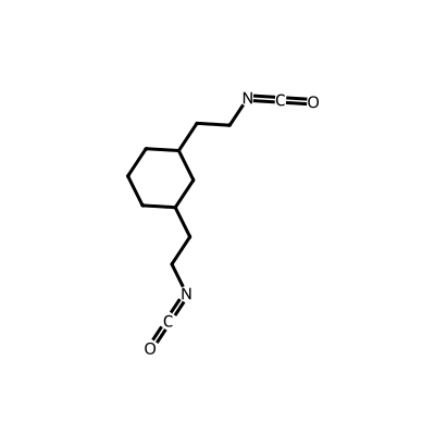 O=C=NCCC1CCCC(CCN=C=O)C1